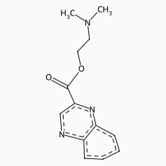 CN(C)CCOC(=O)c1cnc2ccccc2n1